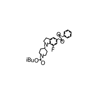 CC(C)COC(=O)N1CCC(N2CCc3cc(S(=O)(=O)c4ccccc4)cc(F)c32)CC1